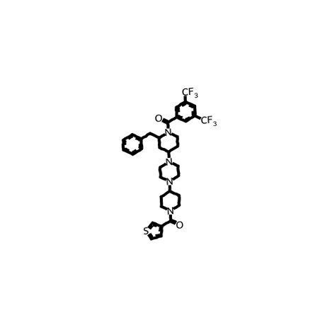 O=C(c1ccsc1)N1CCC(N2CCN(C3CCN(C(=O)c4cc(C(F)(F)F)cc(C(F)(F)F)c4)C(Cc4ccccc4)C3)CC2)CC1